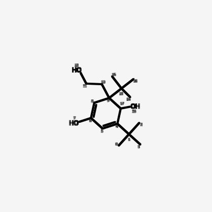 CC(C)(C)C1=CC(O)=CC(CCO)(C(C)(C)C)C1O